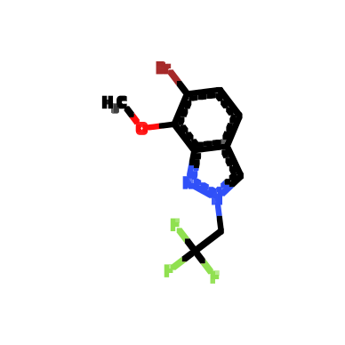 COc1c(Br)ccc2cn(CC(F)(F)F)nc12